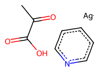 CC(=O)C(=O)O.[Ag].c1ccncc1